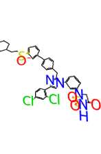 O=C1CN(c2cccc(-n3cc(-c4ccc(Cl)cc4Cl)nc3Cc3ccc(-c4cccc([S+]([O-])CCC5CCCCC5)c4)cc3)c2)S(=O)(=O)N1